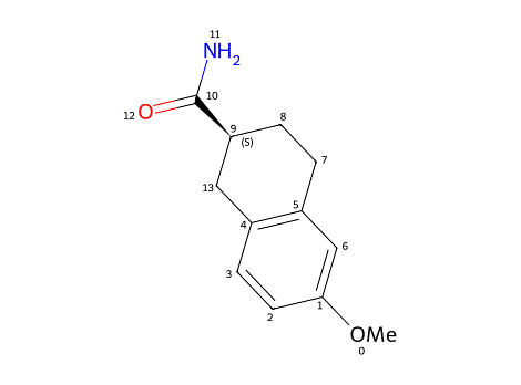 COc1ccc2c(c1)CC[C@H](C(N)=O)C2